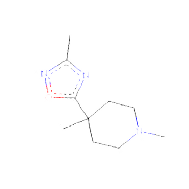 Cc1noc(C2(C)CCN(C)CC2)n1